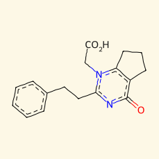 O=C(O)Cn1c(CCc2ccccc2)nc(=O)c2c1CCC2